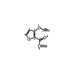 CCC(C)Oc1ccsc1C(=O)OC